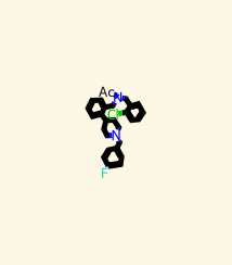 CC(=O)N(Cc1ccccc1Cl)Cc1ccccc1C1CCN(Cc2ccc(F)cc2)CC1